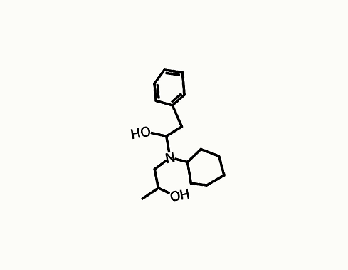 CC(O)CN(C(O)Cc1ccccc1)C1CCCCC1